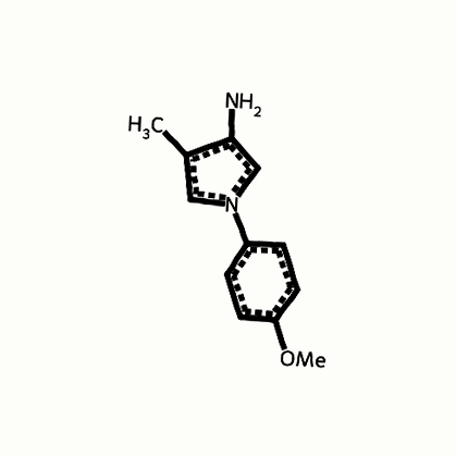 COc1ccc(-n2cc(C)c(N)c2)cc1